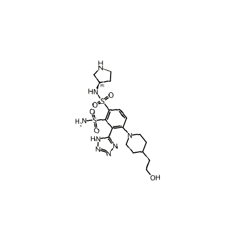 NS(=O)(=O)c1c(S(=O)(=O)N[C@@H]2CCNC2)ccc(N2CCC(CCO)CC2)c1-c1nnn[nH]1